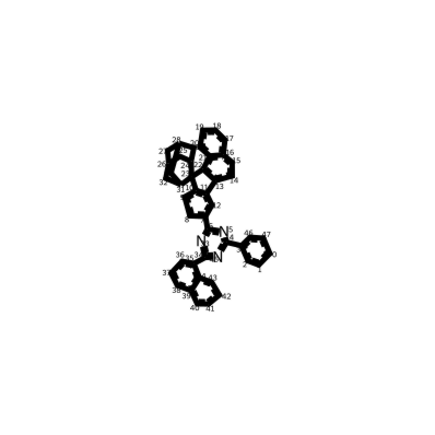 c1ccc(-c2nc(-c3ccc4c(c3)-c3ccc5ccccc5c3C43C4CC5CC(C4)CC3C5)nc(-c3cccc4ccccc34)n2)cc1